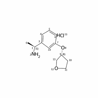 C[C@H](N)c1cccc(O[C@@H]2CCOC2)c1.Cl